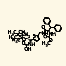 COC(=O)N[C@H](C(=O)NCc1ccc([C@@H](CO[Si](C)(C)C(C)(C)C)NC(=O)O)s1)C(c1ccccc1)c1ccccc1